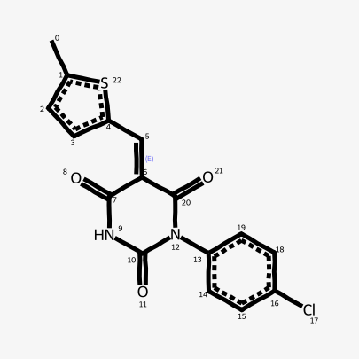 Cc1ccc(/C=C2\C(=O)NC(=O)N(c3ccc(Cl)cc3)C2=O)s1